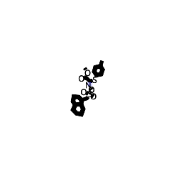 COC(=O)/C(=N/OS(=O)(=O)Cc1cccc2ccccc12)Sc1ccc(C)cc1